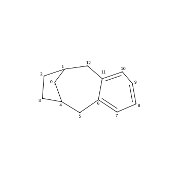 [CH]1C2CCC1Cc1ccccc1C2